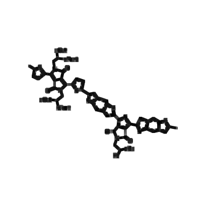 CCCCCCCCC(CCCCC)CN1C(=O)C2=C(c3ccc(-c4cc5cc6sc(-c7sc(-c8cc9cc%10sc(C)cc%10cc9s8)c8c7C(=O)N(CC(CC)CCCC)C8=O)cc6cc5s4)s3)N(CC(CCCCC)CCCCCCCC)C(=O)C2=C1c1ccc(C)s1